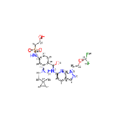 O=C(Nc1ccc2cnn(CCOC(F)F)c2n1)c1ccc(NS(=O)(=O)CCO)cc1N1CCC2(CC1)CC2